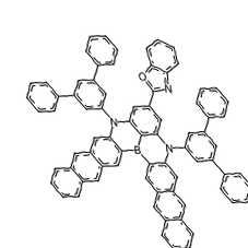 c1ccc(-c2cc(-c3ccccc3)cc(N3c4cc5cc6ccccc6cc5cc4B4c5cc6cc7ccccc7cc6cc5N(c5cc(-c6ccccc6)cc(-c6ccccc6)c5)c5cc(-c6nc7ccccc7o6)cc3c54)c2)cc1